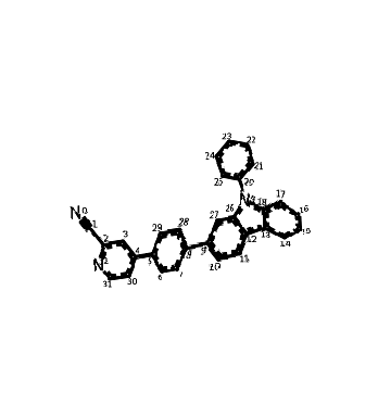 N#Cc1cc(-c2ccc(-c3ccc4c5ccccc5n(-c5ccccc5)c4c3)cc2)ccn1